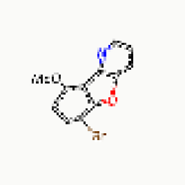 COc1ccc(Br)c2oc3cccnc3c12